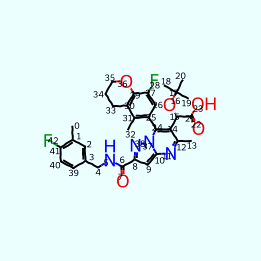 Cc1cc(CNC(=O)c2cc3nc(C)c([C@H](OC(C)(C)C)C(=O)O)c(-c4cc(F)c5c(c4C)CCCO5)n3n2)ccc1F